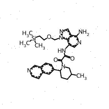 CC1CCC(c2ccc3cnccc3c2)N(C(=O)C(=O)Nc2cnc(N)c3cnn(COCC[Si](C)(C)C)c23)C1